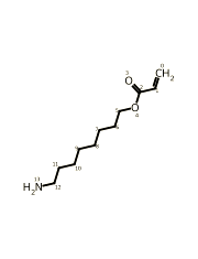 C=CC(=O)OCCCCCCCCN